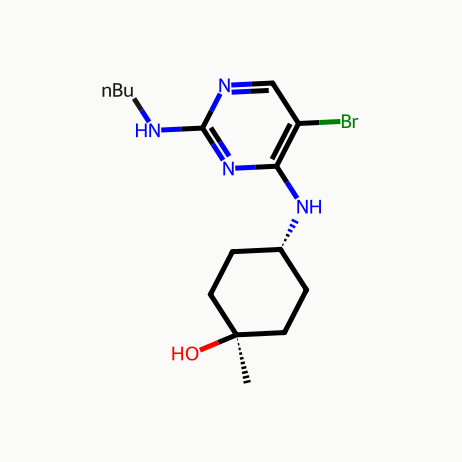 CCCCNc1ncc(Br)c(N[C@H]2CC[C@](C)(O)CC2)n1